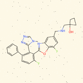 Cn1cnnc1-c1c(-c2ccccc2)ccc(F)c1-c1nc2cc(CNCC3(O)CCC3)cc(F)c2o1